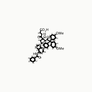 COc1ccc(C(c2ccccc2)(c2ccc(OC)cc2)C(O)[C@H]2O[C@@H](n3cnc4c(NC(=O)c5ccccc5)ncnc43)C[C@@]2(O)C(=O)CCC(=O)O)cc1